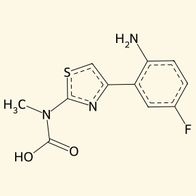 CN(C(=O)O)c1nc(-c2cc(F)ccc2N)cs1